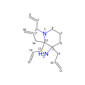 C=CCN1CCCC(N)(CC=C)C1(CC=C)CC=C